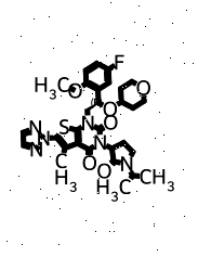 COc1ccc(F)cc1[C@H](Cn1c(=O)n(C2CCN(C(C)C)C2=O)c(=O)c2c(C)c(-n3nccn3)sc21)OC1CCOCC1